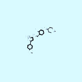 COc1cc(NC2CCN(C)CC2)ccc1C(=O)Nc1cc(-c2ccc3c(c2)OCO3)n[nH]1